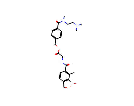 Cc1c(C(=O)NCC(=O)OCc2ccc(C(=O)N(C)CCN(C)C)cc2)ccc2c1B(O)OC2